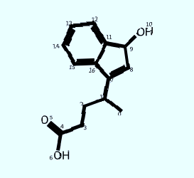 CC(CCC(=O)O)C1=CC(O)c2ccccc21